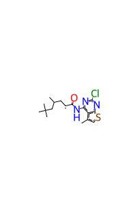 Cc1csc2nc(Cl)nc(NC(=O)[CH]CC(C)CC(C)(C)C)c12